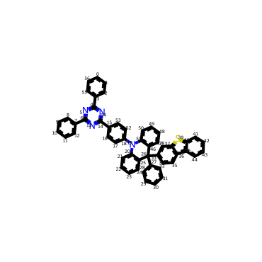 c1ccc(-c2nc(-c3ccccc3)nc(-c3ccc(N4c5ccccc5C(c5ccccc5)(c5ccc6c(c5)sc5ccccc56)c5ccccc54)cc3)n2)cc1